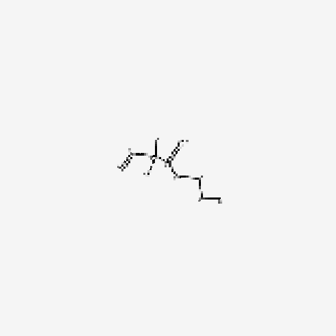 C=CC(C)(C)C(=O)CCCC